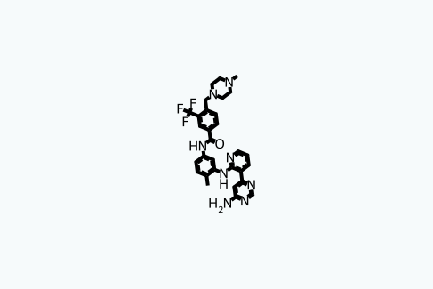 Cc1ccc(NC(=O)c2ccc(CN3CCN(C)CC3)c(C(F)(F)F)c2)cc1Nc1ncccc1-c1cc(N)ncn1